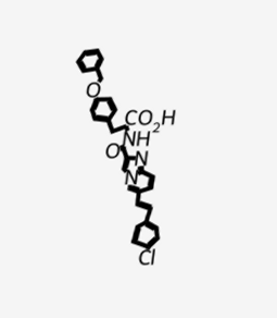 O=C(NC(Cc1ccc(OCc2ccccc2)cc1)C(=O)O)c1cn2cc(/C=C/c3ccc(Cl)cc3)ccc2n1